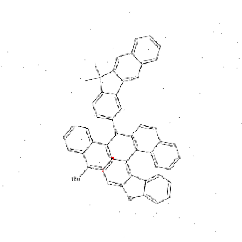 CC(C)(C)c1ccc(N(c2ccc3c(c2)-c2cc4ccccc4cc2C3(C)C)c2ccc3ccccc3c2-c2cccc3sc4ccccc4c23)c2ccccc12